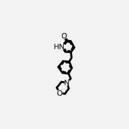 O=c1ccc(Cc2cccc(CN3CCOCC3)c2)c[nH]1